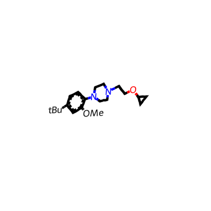 COc1cc(C(C)(C)C)ccc1N1CCN(CCOC2CC2)CC1